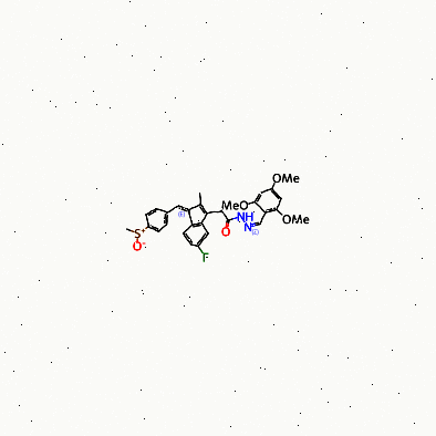 COc1cc(OC)c(/C=N\NC(=O)CC2=C(C)/C(=C/c3ccc([S+](C)[O-])cc3)c3ccc(F)cc32)c(OC)c1